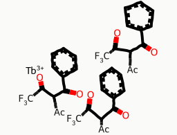 CC(=O)C(C(=O)c1ccccc1)C(=O)C(F)(F)F.CC(=O)C(C(=O)c1ccccc1)C(=O)C(F)(F)F.CC(=O)C(C(=O)c1ccccc1)C(=O)C(F)(F)F.[Tb+3]